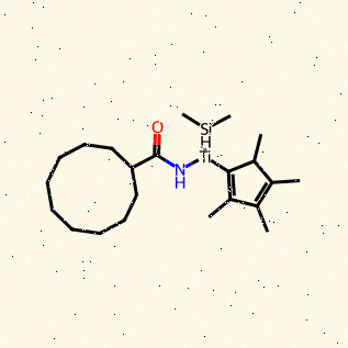 CC1=C(C)C(C)[C]([Ti]([NH]C(=O)C2CCCCCCCCC2)[SiH](C)C)=C1C